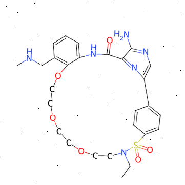 CCN1CCOCCOCCOc2c(CNC)cccc2NC(=O)c2nc(cnc2N)-c2ccc(cc2)S1(=O)=O